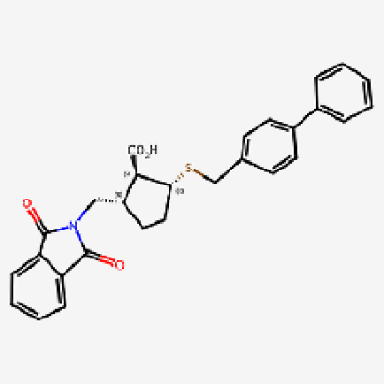 O=C(O)[C@@H]1[C@@H](CN2C(=O)c3ccccc3C2=O)CC[C@H]1SCc1ccc(-c2ccccc2)cc1